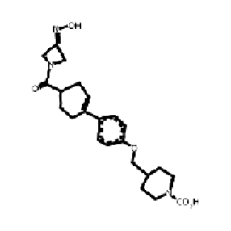 O=C(O)N1CCC(COc2ccc(C3=CCC(C(=O)N4CC(=NO)C4)CC3)cc2)CC1